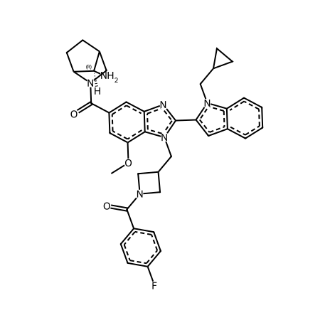 COc1cc(C(=O)N2CC3CCC2[C@@H]3N)cc2nc(-c3cc4ccccc4n3CC3CC3)n(CC3CN(C(=O)c4ccc(F)cc4)C3)c12